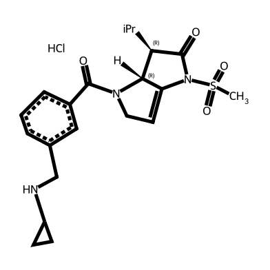 CC(C)[C@H]1C(=O)N(S(C)(=O)=O)C2=CCN(C(=O)c3cccc(CNC4CC4)c3)[C@@H]21.Cl